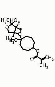 C=C(C)C(=O)OC1CCCC(C)(OC2(C)COC(C)(O)C2(F)F)CCC1